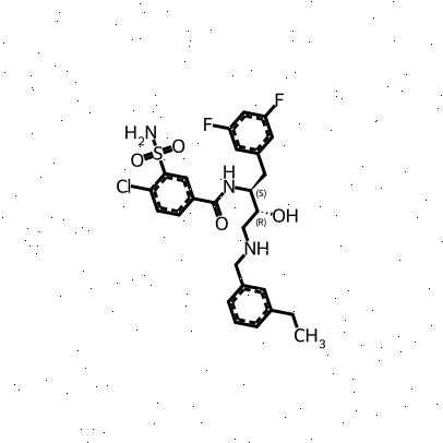 CCc1cccc(CNC[C@@H](O)[C@H](Cc2cc(F)cc(F)c2)NC(=O)c2ccc(Cl)c(S(N)(=O)=O)c2)c1